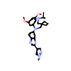 COc1cc(OC)cc(N(CC2(CNC(C)C)CCC2)c2ccc3ncc(-c4cnn(C)c4)nc3c2)c1